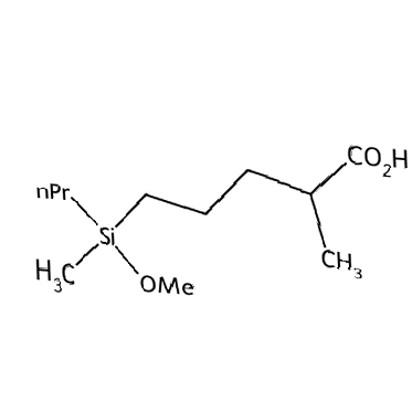 CCC[Si](C)(CCCC(C)C(=O)O)OC